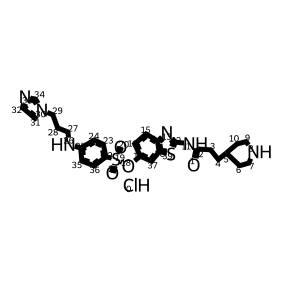 Cl.O=C(CCC1CCNCC1)Nc1nc2ccc(OS(=O)(=O)c3ccc(NCCCn4ccnc4)cc3)cc2s1